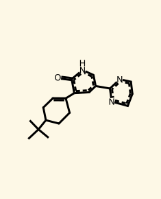 CC(C)(C)C1CC=C(c2cc(-c3ncccn3)c[nH]c2=O)CC1